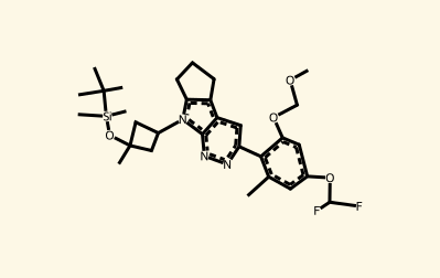 COCOc1cc(OC(F)F)cc(C)c1-c1cc2c3c(n(C4CC(C)(O[Si](C)(C)C(C)(C)C)C4)c2nn1)CCC3